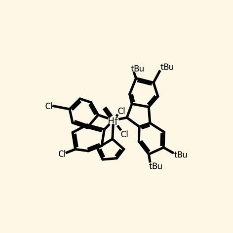 [CH2]=[Hf]([Cl])([Cl])([c]1ccc(Cl)cc1)([c]1ccc(Cl)cc1)([CH]1C=CC=C1)[CH]1c2cc(C(C)(C)C)c(C(C)(C)C)cc2-c2cc(C(C)(C)C)c(C(C)(C)C)cc21